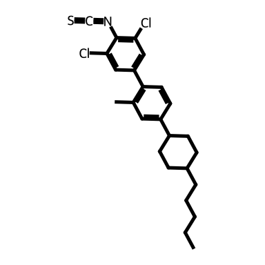 CCCCCC1CCC(c2ccc(-c3cc(Cl)c(N=C=S)c(Cl)c3)c(C)c2)CC1